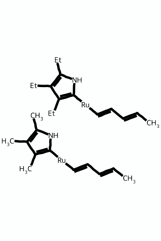 CC=CC=[CH][Ru][c]1[nH]c(C)c(C)c1C.CC=CC=[CH][Ru][c]1[nH]c(CC)c(CC)c1CC